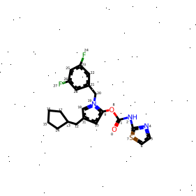 O=C(Nc1nccs1)Oc1cc(CC2CCCC2)cn1Cc1cc(F)cc(F)c1